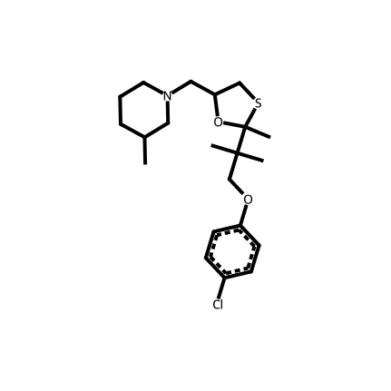 CC1CCCN(CC2CSC(C)(C(C)(C)COc3ccc(Cl)cc3)O2)C1